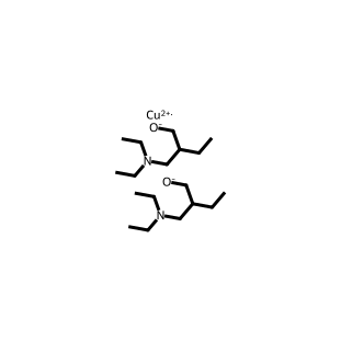 CCC(C[O-])CN(CC)CC.CCC(C[O-])CN(CC)CC.[Cu+2]